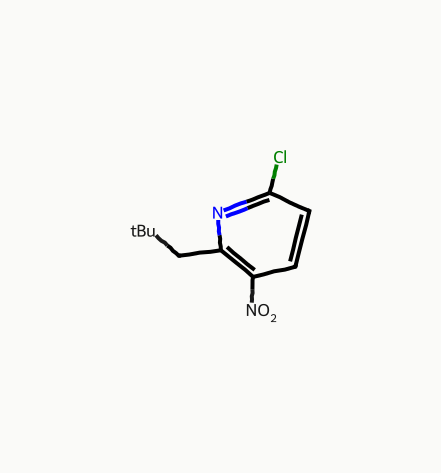 [CH2]C(C)(C)Cc1nc(Cl)ccc1[N+](=O)[O-]